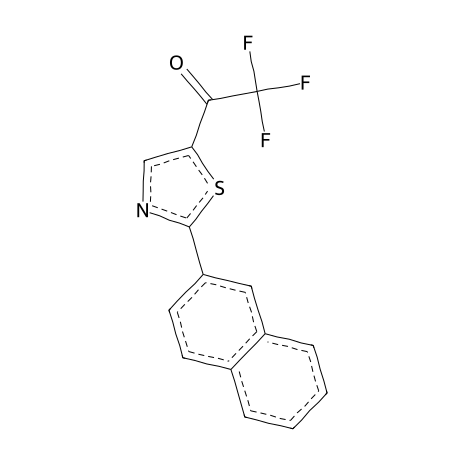 O=C(c1cnc(-c2ccc3ccccc3c2)s1)C(F)(F)F